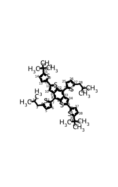 CC(C)Cc1ccc(-c2c3cc(-c4ccc(C(C)(C)C)s4)sc3c(-c3ccc(CC(C)C)s3)c3cc(-c4ccc(C(C)(C)C)s4)sc23)s1